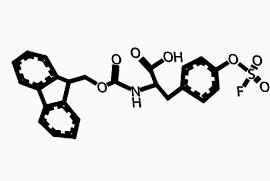 O=C(NC(Cc1ccc(OS(=O)(=O)F)cc1)C(=O)O)OCC1c2ccccc2-c2ccccc21